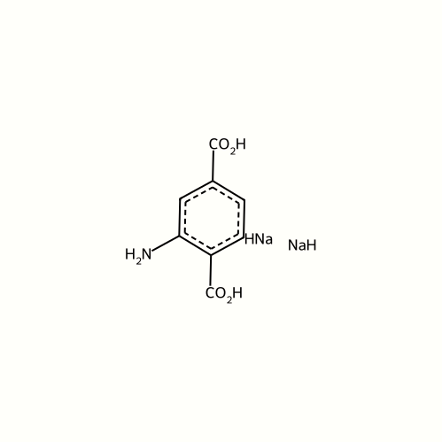 Nc1cc(C(=O)O)ccc1C(=O)O.[NaH].[NaH]